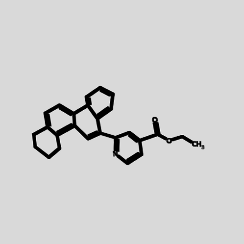 CCOC(=O)c1ccnc(-c2cc3c4c(ccc3c3ccccc23)CCCC4)c1